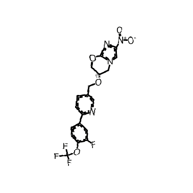 O=[N+]([O-])c1cn2c(n1)OC[C@@H](OCc1ccc(-c3ccc(OC(F)(F)F)c(F)c3)nc1)C2